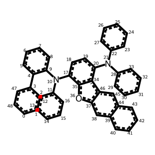 c1ccc(-c2ccccc2N(c2ccccc2)c2ccc(N(c3ccccc3)c3ccccc3)c3c2oc2cc4ccccc4cc23)cc1